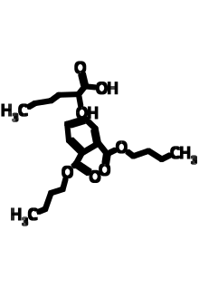 CCCCC(O)C(=O)O.CCCCOC(=O)c1ccccc1C(=O)OCCCC